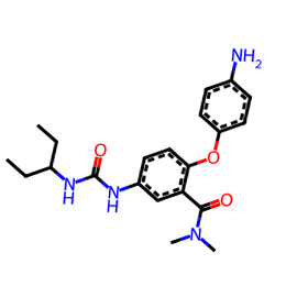 CCC(CC)NC(=O)Nc1ccc(Oc2ccc(N)cc2)c(C(=O)N(C)C)c1